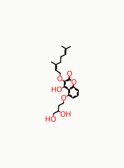 CC(C)=CCCC(C)=CCOc1c(O)c2c(OCCC(O)CO)cccc2oc1=O